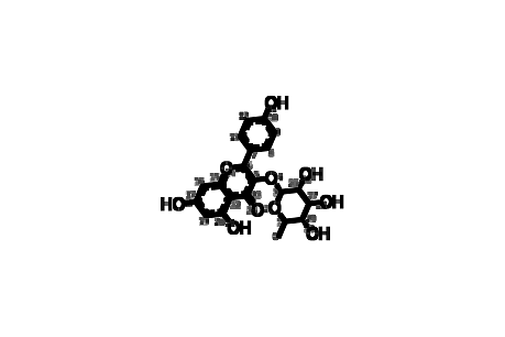 CC1O[C@@H](Oc2c(-c3ccc(O)cc3)oc3cc(O)cc(O)c3c2=O)[C@@H](O)C(O)[C@H]1O